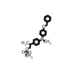 CC(COS(C)(=O)=O)c1ccc(N(C)c2ccc(OCc3ccccc3)cc2)cc1